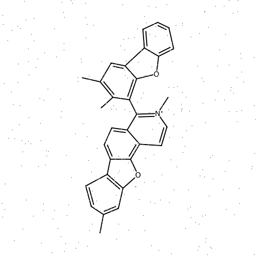 Cc1ccc2c(c1)oc1c3cc[n+](C)c(-c4c(C)c(C)cc5c4oc4ccccc45)c3ccc21